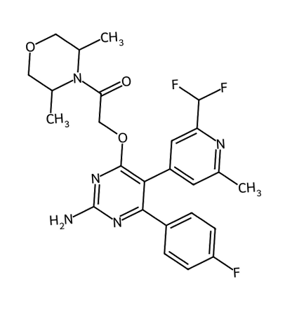 Cc1cc(-c2c(OCC(=O)N3C(C)COCC3C)nc(N)nc2-c2ccc(F)cc2)cc(C(F)F)n1